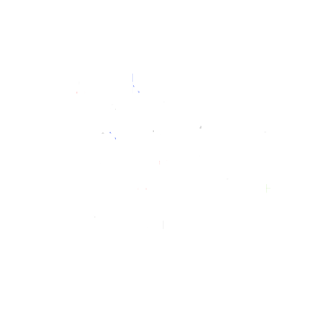 COc1ccccc1N1C(=O)NC(Cc2ccc(F)cc2)C1=O